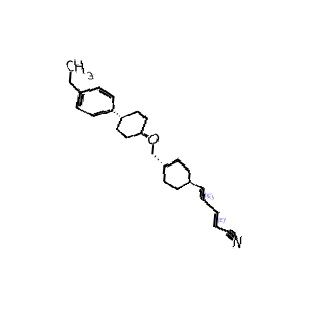 CCc1ccc([C@H]2CC[C@H](OC[C@H]3CC[C@H](/C=C/C=C/C#N)CC3)CC2)cc1